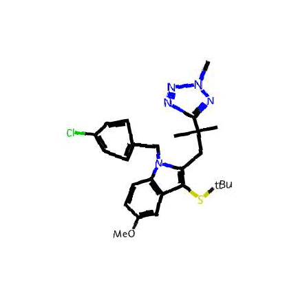 COc1ccc2c(c1)c(SC(C)(C)C)c(CC(C)(C)c1nnn(C)n1)n2Cc1ccc(Cl)cc1